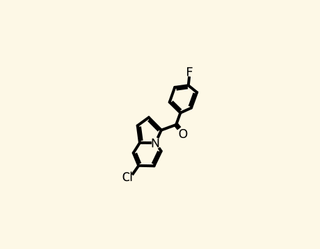 O=C(c1ccc(F)cc1)c1ccc2cc(Cl)ccn12